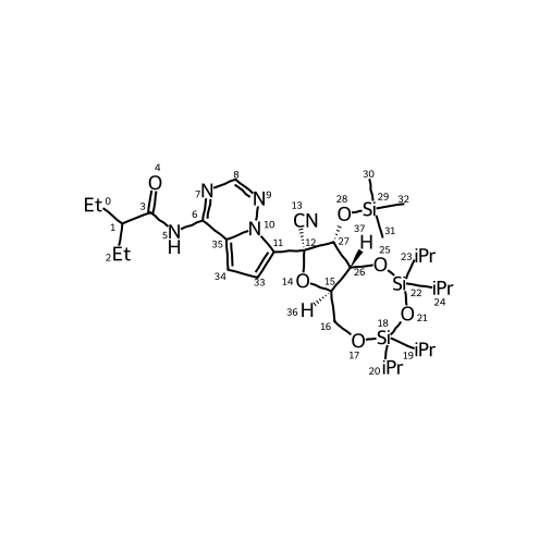 CCC(CC)C(=O)Nc1ncnn2c([C@]3(C#N)O[C@@H]4CO[Si](C(C)C)(C(C)C)O[Si](C(C)C)(C(C)C)O[C@H]4[C@H]3O[Si](C)(C)C)ccc12